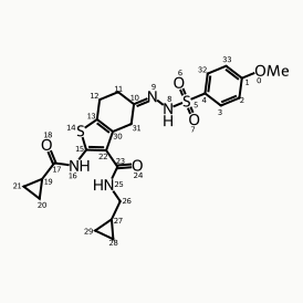 COc1ccc(S(=O)(=O)NN=C2CCc3sc(NC(=O)C4CC4)c(C(=O)NCC4CC4)c3C2)cc1